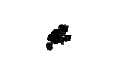 CCn1nnc2c(Cl)c([C@H](c3ccc(C)c(CCl)c3)[C@@H](C)C(=O)N3C(=O)OCC3Cc3ccccc3)ccc21